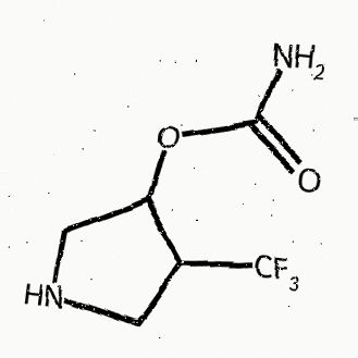 NC(=O)OC1CNCC1C(F)(F)F